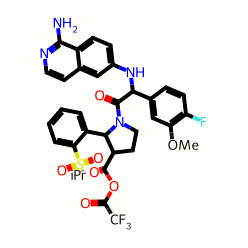 COc1cc(C(Nc2ccc3c(N)nccc3c2)C(=O)N2CCC(C(=O)OC(=O)C(F)(F)F)C2c2ccccc2S(=O)(=O)C(C)C)ccc1F